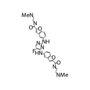 CNCC=NC(=O)c1cc2cc(Nc3ncc(F)c(Nc4ccc5oc(C(=O)N=CCNC)cc5c4)n3)ccc2o1